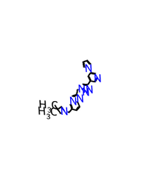 CC1(C)CN(Cc2ccc3nc(Cn4cc(-c5cncc(-n6cccc6)c5)nn4)cn3c2)C1